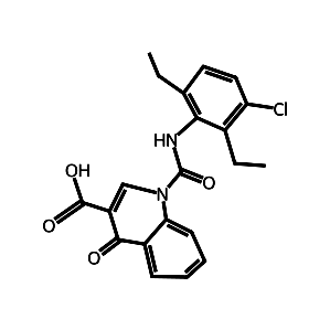 CCc1ccc(Cl)c(CC)c1NC(=O)n1cc(C(=O)O)c(=O)c2ccccc21